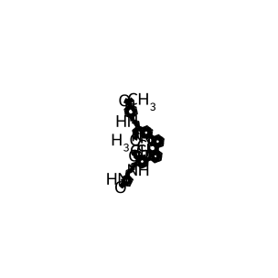 COc1nc(-c2cccc(-c3cccc(-c4ccc5c(CNC6CCN(C(C)=O)CC6)cn(C)c5n4)c3Cl)c2Cl)ccc1CNCC1CCC(=O)N1